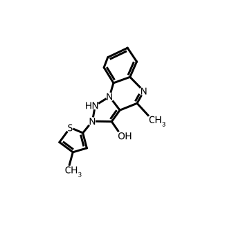 CC1=Nc2ccccc2N2NN(c3cc(C)cs3)C(O)=C12